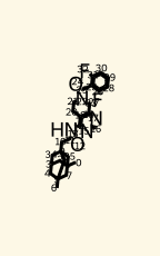 CC12CC3CC(C)(C1)CC(CC(=O)Nc1ncnc4c1CCN(C(=O)c1c(F)cccc1F)C4)(C3)C2